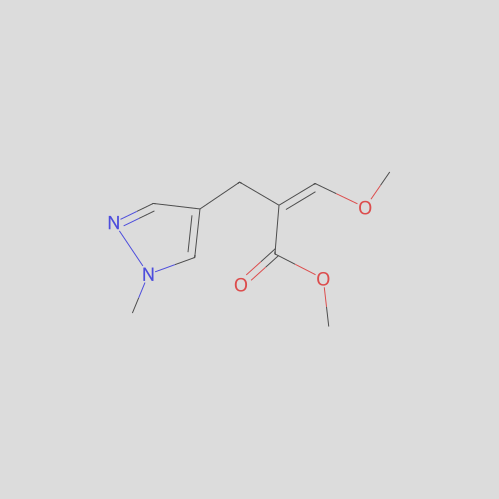 COC=C(Cc1cnn(C)c1)C(=O)OC